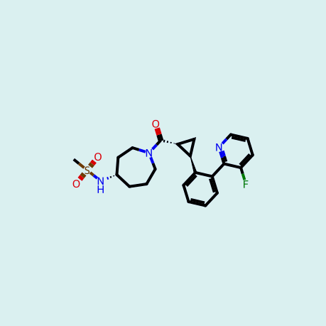 CS(=O)(=O)N[C@H]1CCCN(C(=O)[C@@H]2C[C@H]2c2ccccc2-c2ncccc2F)CC1